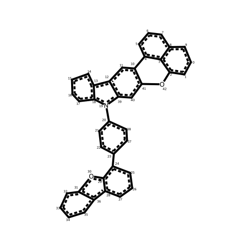 c1cc2c3c(cccc3c1)-c1cc3c4ccccc4n(-c4ccc(-c5cccc6c5oc5ccccc56)cc4)c3cc1O2